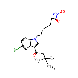 CCC(C)(C)CC(=O)c1cn(CCCCCC(=O)NO)c2ccc(Br)cc12